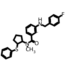 CN(C(=O)c1[c]c(NCc2ccc(F)cc2)ccc1)C1CCCC1Sc1ccccc1